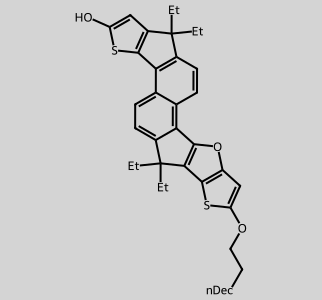 CCCCCCCCCCCCOc1cc2oc3c(c2s1)C(CC)(CC)c1ccc2c4c(ccc2c1-3)C(CC)(CC)c1cc(O)sc1-4